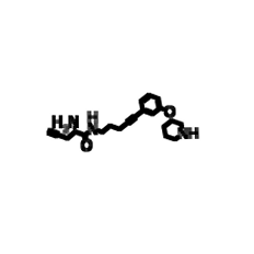 C#CC[C@H](N)C(=O)NCCCC#Cc1cccc(O[C@H]2CCCNC2)c1